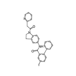 O=C(Nc1ccc2c(c1)CCN2C(=O)Cc1ccccn1)c1cc(I)ccc1-c1ccccc1